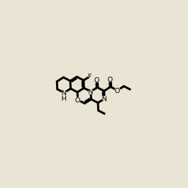 CCOC(=O)C1=NC(CC)C2=COC3C(=C(F)C=C4CCCNC43)N2C1=O